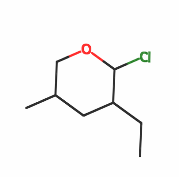 CCC1CC(C)COC1Cl